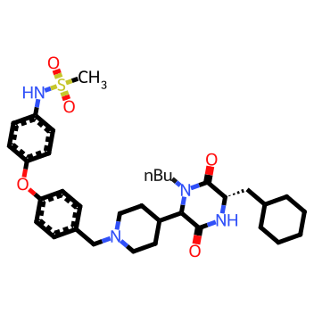 CCCCN1C(=O)[C@H](CC2CCCCC2)NC(=O)C1C1CCN(Cc2ccc(Oc3ccc(NS(C)(=O)=O)cc3)cc2)CC1